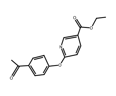 CCOC(=O)c1ccc(Oc2ccc(C(C)=O)cc2)nc1